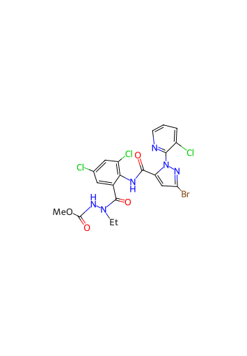 CCN(NC(=O)OC)C(=O)c1cc(Cl)cc(Cl)c1NC(=O)c1cc(Br)nn1-c1ncccc1Cl